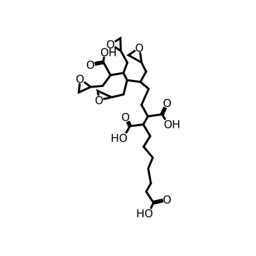 O=C(O)CCCCCCC(C(=O)O)C(CCC(CC1CO1)C(CC1CO1)C(CC1CO1)C(CC1CO1)C(=O)O)C(=O)O